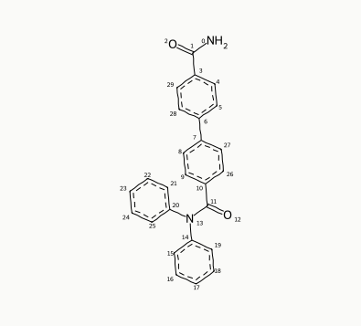 NC(=O)c1ccc(-c2ccc(C(=O)N(c3ccccc3)c3ccccc3)cc2)cc1